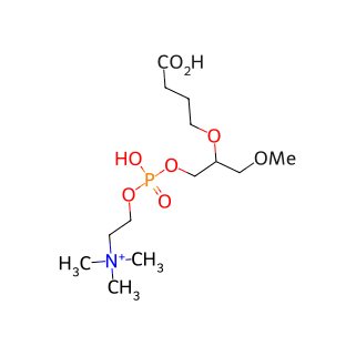 COCC(COP(=O)(O)OCC[N+](C)(C)C)OCCCC(=O)O